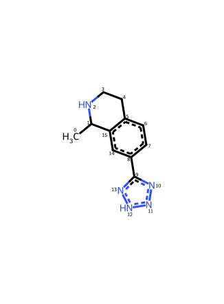 CC1NCCc2ccc(-c3nn[nH]n3)cc21